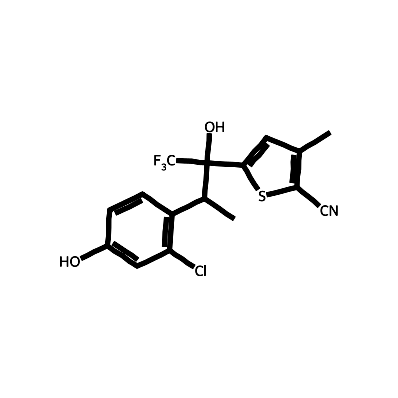 Cc1cc(C(O)(C(C)c2ccc(O)cc2Cl)C(F)(F)F)sc1C#N